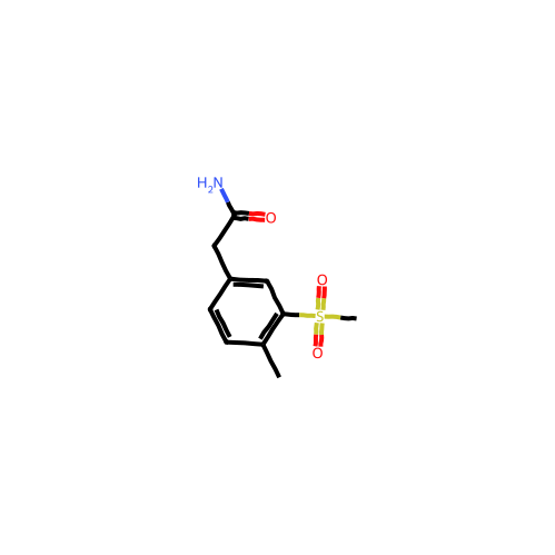 Cc1ccc(CC(N)=O)cc1S(C)(=O)=O